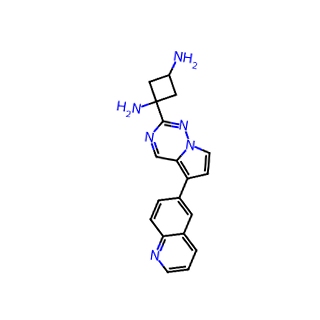 NC1CC(N)(c2ncc3c(-c4ccc5ncccc5c4)ccn3n2)C1